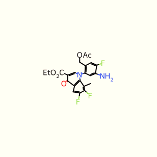 CCOC(=O)c1cn(-c2cc(N)c(F)cc2COC(C)=O)c2c(C)c(F)c(F)cc2c1=O